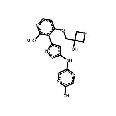 COc1nccc(OCC2(O)CNC2)c1-c1cc(Nc2cnc(C#N)cn2)n[nH]1